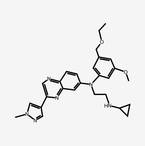 CCOCc1cc(OC)cc(N(CCNC2CC2)c2ccc3ncc(-c4cnn(C)c4)nc3c2)c1